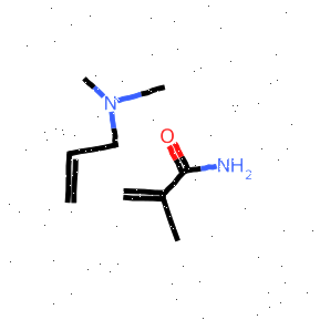 C=C(C)C(N)=O.C=CCN(C)C